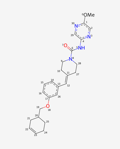 COc1cnc(NC(=O)N2CCC(=Cc3cccc(OCC4CC=CCC4)c3)CC2)cn1